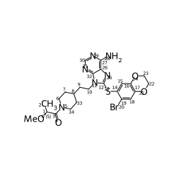 CO[C@@H](C)C(=O)N1CCC(CCn2c(Sc3cc4c(cc3Br)OCCO4)nc3c(N)ncnc32)CC1